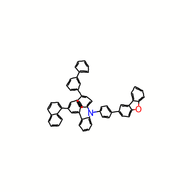 c1ccc(-c2cccc(-c3ccc(N(c4ccc(-c5ccc6oc7ccccc7c6c5)cc4)c4ccccc4-c4cccc(-c5cccc6ccccc56)c4)cc3)c2)cc1